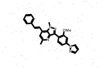 COc1cc(-n2cccn2)ccc1-c1nn(C)c2c(C=Cc3ccccc3)cc(C)nc12